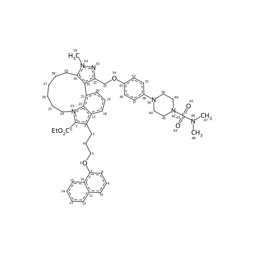 CCOC(=O)c1c(CCCOc2cccc3ccccc23)c2cccc3c2n1CCCCCCc1c-3c(COc2ccc(N3CCN(S(=O)(=O)N(C)C)CC3)cc2)nn1C